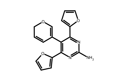 Nc1nc(-c2ccco2)c(C2=COCC=C2)c(-c2ccco2)n1